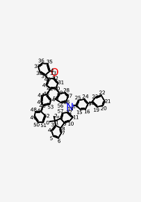 CC1(C)c2ccccc2-c2ccc(N(c3ccc(-c4ccccc4)cc3)c3ccc(-c4cc5oc6ccccc6c5cc4-c4ccc(-c5ccccc5)cc4)cc3)cc21